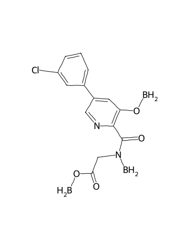 BOC(=O)CN(B)C(=O)c1ncc(-c2cccc(Cl)c2)cc1OB